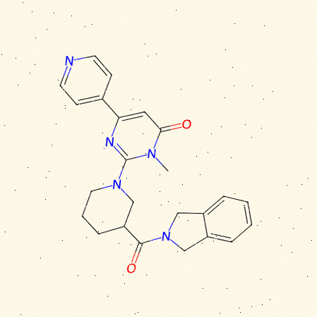 Cn1c(N2CCCC(C(=O)N3Cc4ccccc4C3)C2)nc(-c2ccncc2)cc1=O